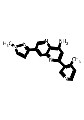 Cc1ccncc1-c1cc(N)c2ncc(-c3ccn(C)n3)cc2n1